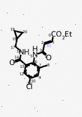 CCOC(=O)/C=C/C(=O)Nc1c(C)cc(Cl)cc1C(=O)NCC1CC1